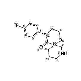 O=C1N(c2ccc(F)cc2)CCOC12CCCNC2